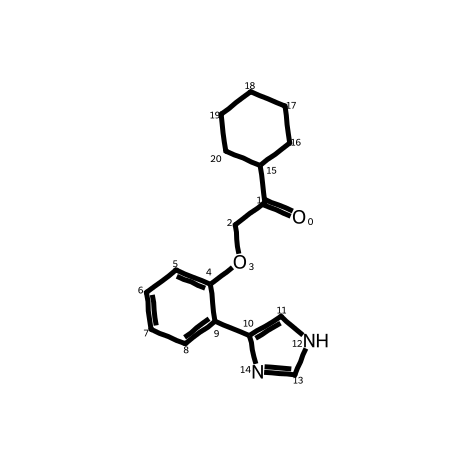 O=C(COc1ccccc1-c1c[nH]cn1)C1CCCCC1